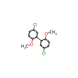 COc1ccc(Cl)cc1-c1cc(Cl)ccc1OC